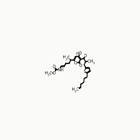 C=CCCCCc1ccc(CC(C)C(=O)c2c(O)cc(C(C)CC/C=C/NC(=O)OC)oc2=O)s1